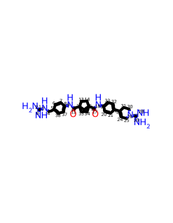 N=C(N)NCc1ccc(NC(=O)C23CCC(C(=O)Nc4ccc(C5=CCN(C(=N)N)CC5)cc4)(CC2)C3)cc1